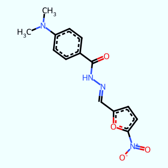 CN(C)c1ccc(C(=O)N/N=C/c2ccc([N+](=O)[O-])o2)cc1